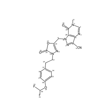 Cn1cnc2c(C#N)nn(Cc3nn(CCc4ccc(OC(F)F)cc4)c(=O)o3)c2c1=O